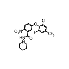 O=C(NN1CCCCC1)c1cc(Oc2c(F)cc(C(F)(F)F)cc2Cl)ccc1[N+](=O)[O-]